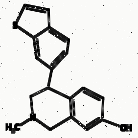 CN1Cc2cc(O)ccc2C(c2ccc3ccsc3c2)C1